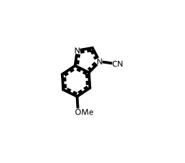 COc1ccc2ncn(C#N)c2c1